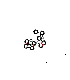 c1ccc(-c2c(N(c3ccccc3)c3ccc4c(c3)Oc3ccccc3C43c4ccccc4-c4ccccc43)ccc3c2sc2cccc(-c4ccccc4)c23)cc1